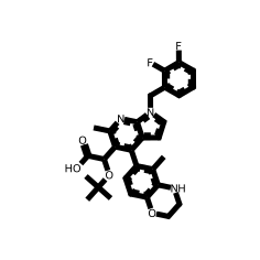 Cc1nc2c(ccn2Cc2cccc(F)c2F)c(-c2ccc3c(c2C)NCCO3)c1C(OC(C)(C)C)C(=O)O